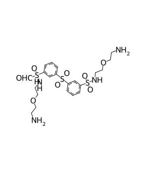 NCCOCCNS(=O)(=O)c1cccc(S(=O)(=O)c2cccc([SH](=O)(C=O)NCCOCCN)c2)c1